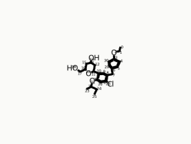 CCOc1ccc(Cc2cc(C3CC(O)CC(CO)O3)c(OC(C)CC)cc2Cl)cc1